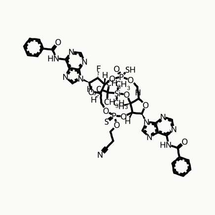 CC(C)(C)[Si](C)(C)O[C@H]1[C@H]2OP(=S)(OCCC#N)OC[C@H]3O[C@@H](n4cnc5c(NC(=O)c6ccccc6)ncnc54)[C@H](F)[C@@H]3OP(=O)(S)OC[C@H]1O[C@H]2n1cnc2c(NC(=O)c3ccccc3)ncnc21